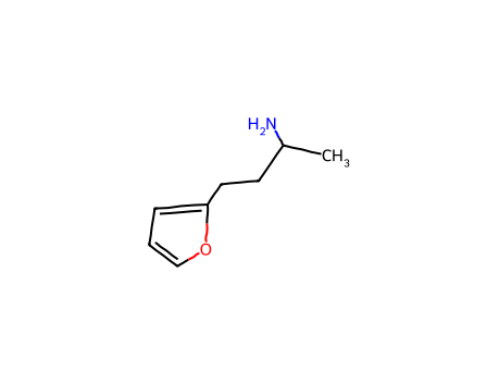 CC(N)CCc1ccco1